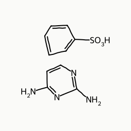 Nc1ccnc(N)n1.O=S(=O)(O)c1ccccc1